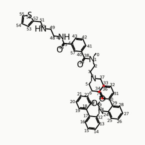 CN(CCN1CCC(OC(=O)N(c2ccccc2-c2ccccc2)c2ccccc2-c2ccccc2)CC1)C(=O)c1cccc(C(=O)NCCNCc2cccs2)c1